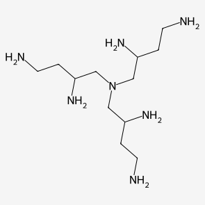 NCCC(N)CN(CC(N)CCN)CC(N)CCN